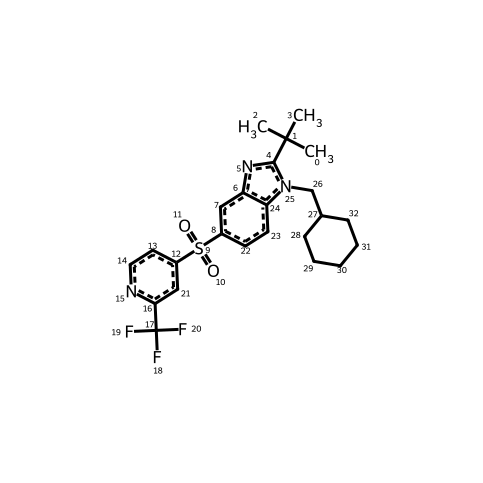 CC(C)(C)c1nc2cc(S(=O)(=O)c3ccnc(C(F)(F)F)c3)ccc2n1CC1CCCCC1